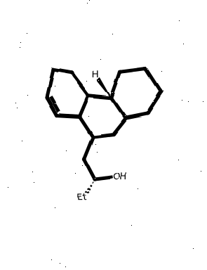 CC[C@@H](O)CC1CC2CCCC[C@H]2C2CCC=CC12